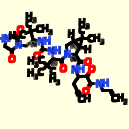 C#CCC(NC(=O)[C@@H]1[C@@H]2[C@H](CN1C(=O)[C@@H](NC(=O)N[C@H](CN1C(=O)CNC1=O)C(C)(C)C)C(C)(C)C)C2(C)C)C(=O)C(=O)NCC=C